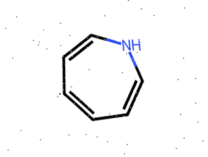 [C]1=CC=CNC=C1